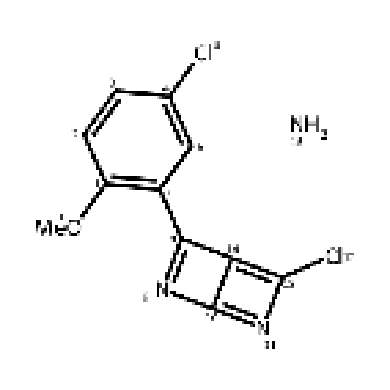 COc1ccc(Cl)cc1-c1nc2nc(Cl)c1-2.N